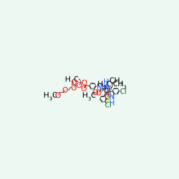 CCC(OC(=O)OCCOCCOC)OC(=O)c1ccc(NC(=O)[C@@H]2N[C@@H](CC(C)(C)C)[C@@]3(C(=O)Nc4cc(Cl)ccc43)[C@H]2c2cccc(Cl)c2F)c(OC)c1